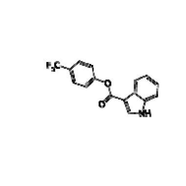 O=C(Oc1ccc(C(F)(F)F)cc1)c1c[nH]c2ccccc12